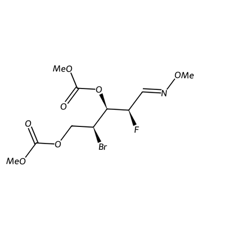 CON=C[C@@H](F)[C@H](OC(=O)OC)[C@@H](Br)COC(=O)OC